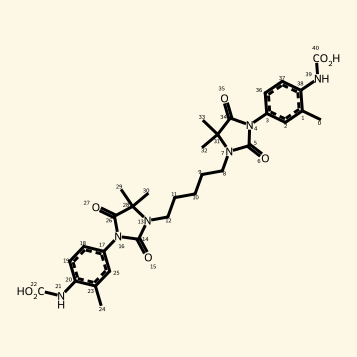 Cc1cc(N2C(=O)N(CCCCCN3C(=O)N(c4ccc(NC(=O)O)c(C)c4)C(=O)C3(C)C)C(C)(C)C2=O)ccc1NC(=O)O